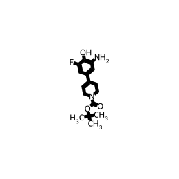 CC(C)(C)OC(=O)N1CC=C(c2cc(N)c(O)c(F)c2)CC1